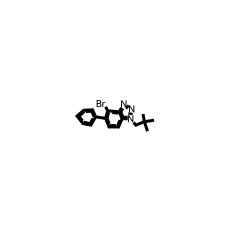 CC(C)(C)Cn1nnc2c(Br)c(-c3ccccc3)ccc21